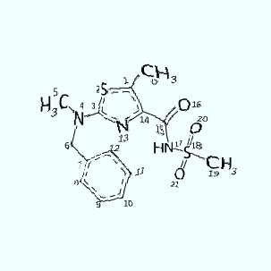 Cc1sc(N(C)Cc2ccccc2)nc1C(=O)NS(C)(=O)=O